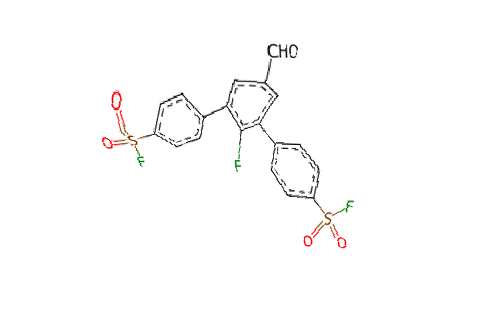 O=Cc1cc(-c2ccc(S(=O)(=O)F)cc2)c(F)c(-c2ccc(S(=O)(=O)F)cc2)c1